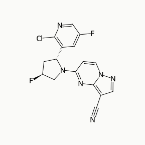 N#Cc1cnn2ccc(N3C[C@@H](F)C[C@@H]3c3cc(F)cnc3Cl)nc12